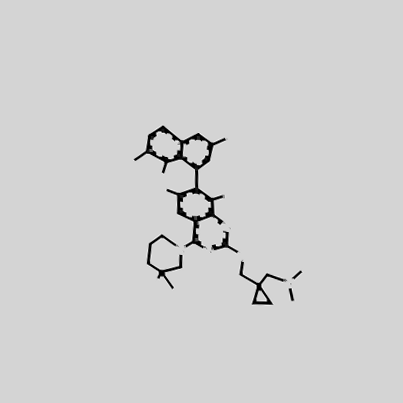 CCc1c(F)ccc2cc(O)cc(-c3c(F)cc4c(N5CCCC(C)(O)C5)nc(OCC5(CN(C)C)CC5)nc4c3F)c12